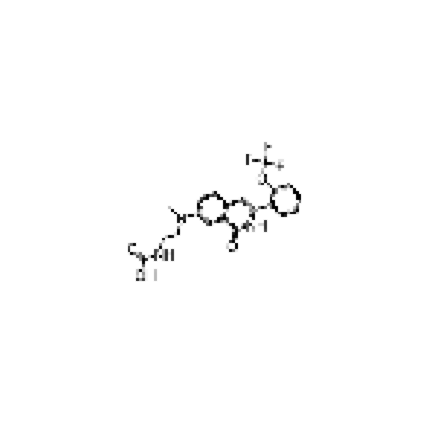 CN(CCNC(=O)O)c1ccc2cc(-c3ccccc3OC(F)(F)F)[nH]c(=O)c2c1